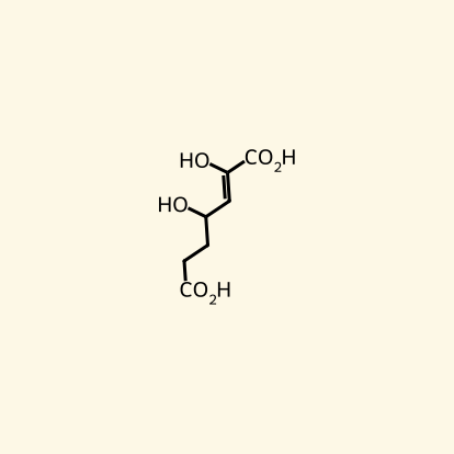 O=C(O)CCC(O)C=C(O)C(=O)O